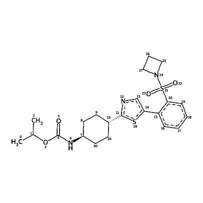 CC(C)OC(=O)N[C@H]1CC[C@H](c2ncc(-c3ccccc3S(=O)(=O)N3CCC3)s2)CC1